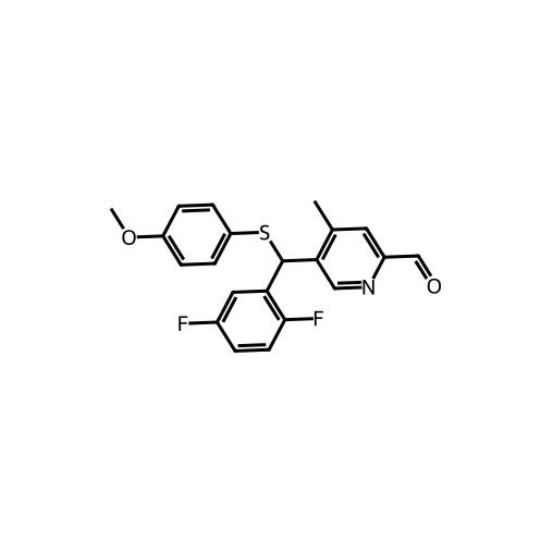 COc1ccc(SC(c2cnc(C=O)cc2C)c2cc(F)ccc2F)cc1